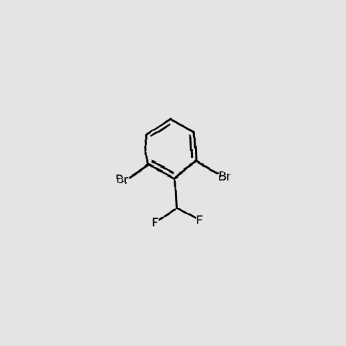 FC(F)c1c(Br)cccc1Br